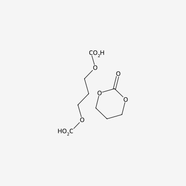 O=C(O)OCCCOC(=O)O.O=C1OCCCO1